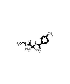 CCNC(=O)C(N)(N)NC(=O)c1ccc(C)cc1